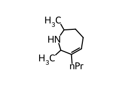 CCCC1=CCCC(C)NC1C